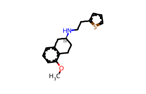 COc1cccc2c1CC[C@H](NCCc1cccs1)C2